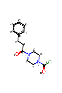 O=C(Cl)N1CCN(C(=O)CCc2ccccc2)CC1